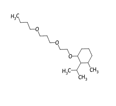 CCCCOCCCOCCOC1CCCC(C)C1C(C)C